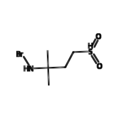 CC(C)(CC[SH](=O)=O)NBr